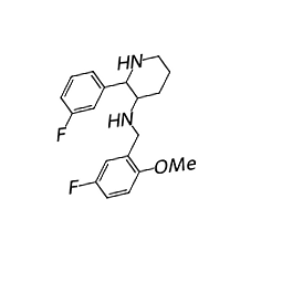 COc1ccc(F)cc1CNC1CCCNC1c1cccc(F)c1